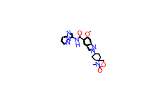 COc1cc2nn(C3CCC4(CC3)COC(=O)N4C)cc2cc1C(=O)Nc1cnc2cccnn12